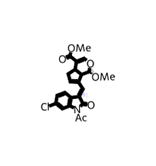 COC(=O)C1=CO[C@@H](OC)C2C(/C=C3/C(=O)N(C(C)=O)c4cc(Cl)ccc43)=CCC12